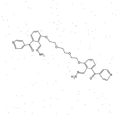 NN=Cc1c(OCCOCCOCCOc2cccc(C(=O)c3ccncc3)c2C=NN)cccc1C(=O)c1ccncc1